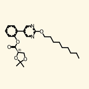 CCCCCCCCCOc1ncc(-c2ccccc2OC(=O)[C@H]2COC(C)(C)O2)cn1